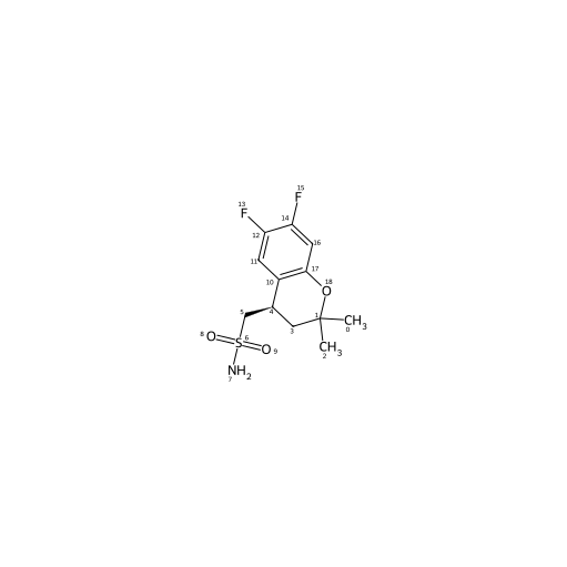 CC1(C)C[C@@H](CS(N)(=O)=O)c2cc(F)c(F)cc2O1